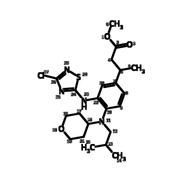 COC(=O)CC(C)c1ccc(N(CC(C)C)C2CCOCC2)c(Nc2nc(Cl)ns2)c1